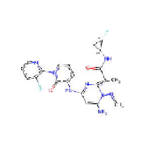 C=NN1C(N)=CC(Nc2cccn(-c3ncccc3F)c2=O)=N/C1=C(/C)C(=O)N[C@@H]1C[C@@H]1F